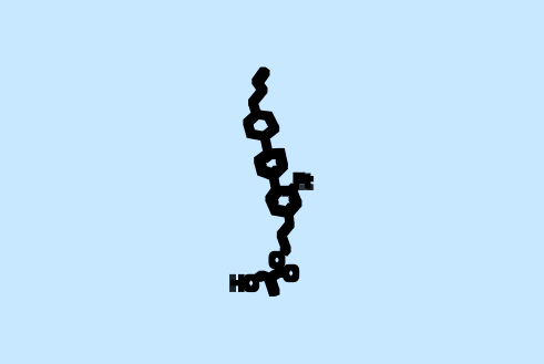 C=CCCC1CCC(c2ccc(-c3ccc(CCCOC(=O)C(=C)CO)cc3CC)cc2)CC1